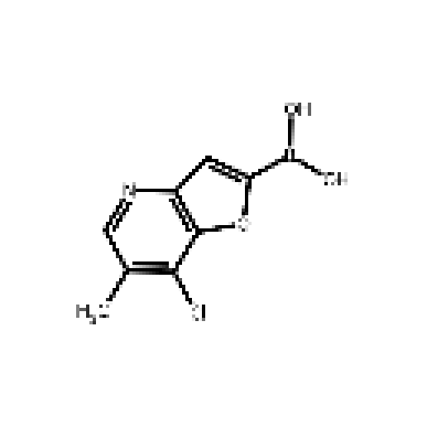 Cc1cnc2cc(B(O)O)oc2c1Cl